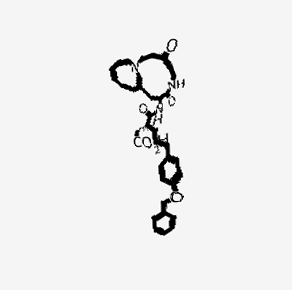 O=C(O)C[C@@H](CCCc1ccc(OCc2ccccc2)cc1)C(=O)NC1Cc2ccccccn(c2)CCC(=O)CCNC1=O